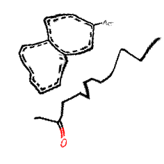 CC(=O)c1ccc2ccccc2c1.CCCCCCCC(C)=O